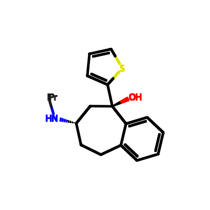 CC(C)N[C@H]1CCc2ccccc2[C@@](O)(c2cccs2)C1